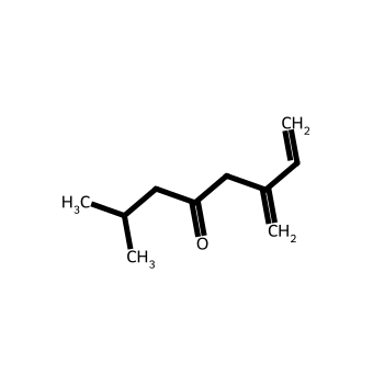 C=CC(=C)CC(=O)CC(C)C